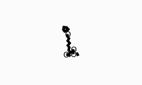 CCOC(=O)C(CCCCCCCOc1ccccc1)C(C)=O